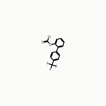 O=C(Cl)Oc1ccccc1-c1ccc(C(F)(F)F)cc1